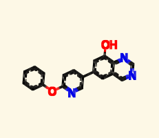 Oc1cc(-c2ccc(Oc3ccccc3)nc2)cc2cncnc12